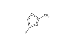 Cc1ccc(F)o1